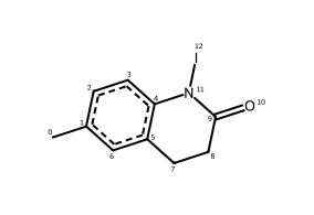 Cc1ccc2c(c1)CCC(=O)N2I